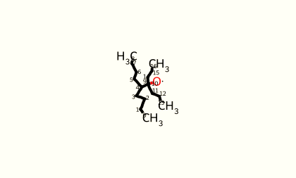 CCCCC(CCCC)C([O])(CCC)CCC